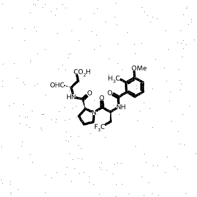 COc1cccc(C(=O)N[C@@H](CC(F)(F)F)C(=O)N2CCC[C@H]2C(=O)N[C@H](C=O)CC(=O)O)c1C